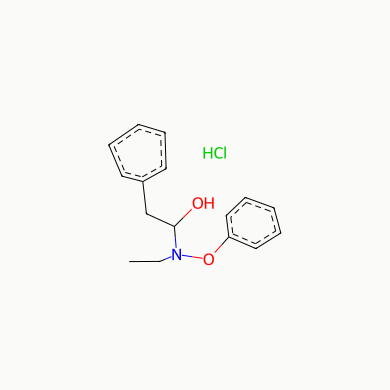 CCN(Oc1ccccc1)C(O)Cc1ccccc1.Cl